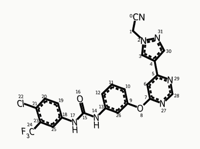 N#CCn1cc(-c2cc(Oc3cccc(NC(=O)Nc4ccc(Cl)c(C(F)(F)F)c4)c3)ncn2)cn1